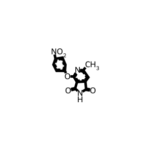 Cc1cc2c(c(Oc3ccc([N+](=O)[O-])cc3)n1)C(=O)NC2=O